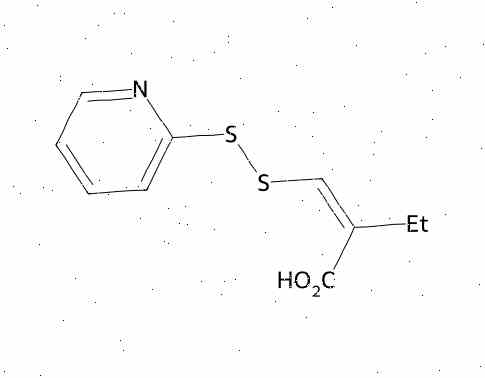 CCC(=CSSc1ccccn1)C(=O)O